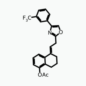 CC(=O)Oc1cccc2c1CCCC2=CCc1nc(-c2cccc(C(F)(F)F)c2)co1